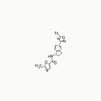 CCc1nc(-c2ccc3c(c2)CCC3NC(=O)c2cnc(C)o2)no1